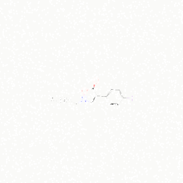 CC(=O)NCn1cc(-c2ccc(I)cc2)c(=O)o1